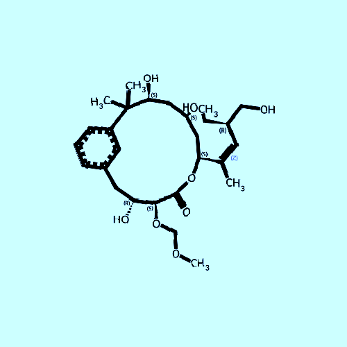 CC[C@H](/C=C(/C)[C@@H]1C[C@@H](O)C[C@H](O)C(C)(C)c2cccc(c2)C[C@@H](O)[C@H](OCOC)C(=O)O1)CO